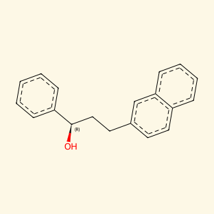 O[C@H](CCc1ccc2ccccc2c1)c1ccccc1